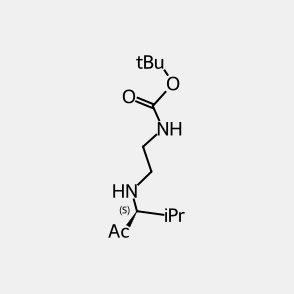 CC(=O)[C@@H](NCCNC(=O)OC(C)(C)C)C(C)C